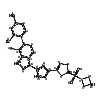 CCc1cc(O)ccc1-c1ccc2c(-c3nc(C4=CCN(S(=O)(=O)C5CNC5)C4)c[nH]3)n[nH]c2c1F